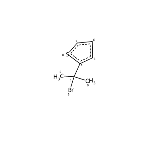 CC(C)(Br)c1cccs1